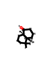 CC1(C)CCC[C@@]2(C)C(=O)CCC[C@H]12